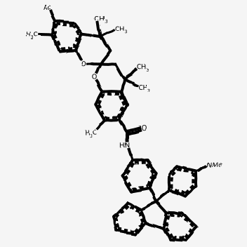 CNc1ccc(C2(c3ccc(NC(=O)c4cc5c(cc4C)OC4(CC(C)(C)c6cc(C(C)=O)c(C)cc6O4)CC5(C)C)cc3)c3ccccc3-c3ccccc32)cc1